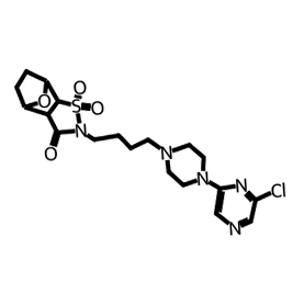 O=C1C2C3CCC(O3)C2S(=O)(=O)N1CCCCN1CCN(c2cncc(Cl)n2)CC1